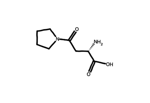 N[C@@H](CC(=O)N1CCCC1)C(=O)O